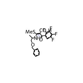 CS/C(NC(C)COCc1ccccc1)=C(\C(=O)O)C(=O)c1cc(F)c(F)c(F)c1F